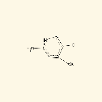 CC(C)(C)c1cc(N)ncc1Cl